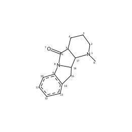 CN1CCCC2C(=O)N3c4ccccc4CC3C21